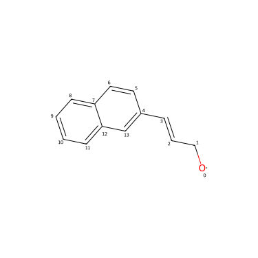 [O]CC=Cc1ccc2ccccc2c1